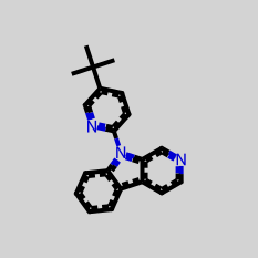 CC(C)(C)c1ccc(-n2c3ccccc3c3ccncc32)nc1